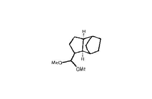 COC(OC)C1CC[C@H]2C3CCC(C3)[C@@H]12